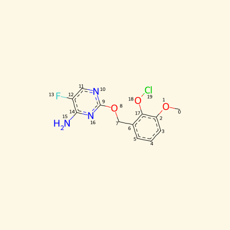 COc1cccc(COc2ncc(F)c(N)n2)c1OCl